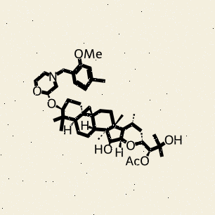 COc1cc(C)ccc1CN1CCO[C@@H](O[C@H]2CC[C@]34C[C@]35CC[C@]3(C)C6[C@H](C)C[C@H]([C@H](OC(C)=O)C(C)(C)O)O[C@@H]6[C@H](O)[C@@]3(C)[C@@H]5CC[C@H]4C2(C)C)C1